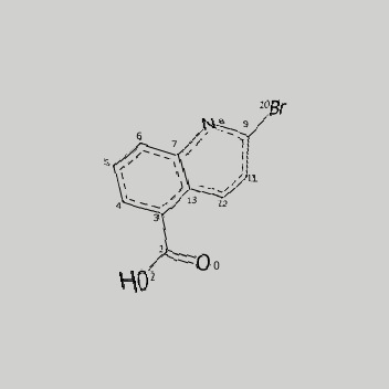 O=C(O)c1cccc2nc(Br)ccc12